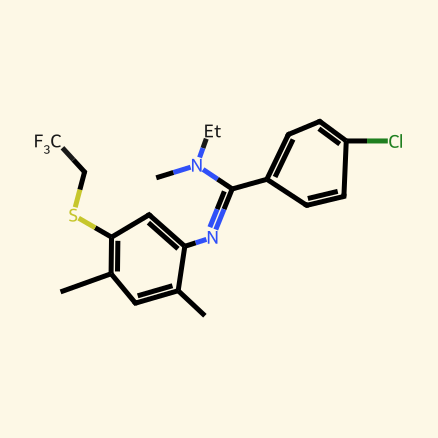 CCN(C)/C(=N\c1cc(SCC(F)(F)F)c(C)cc1C)c1ccc(Cl)cc1